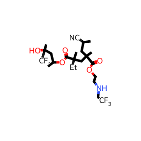 CCC(C)(CC(C)(CC(C)C#N)C(=O)OCCNCC(F)(F)F)C(=O)OC(C)CC(C)(O)C(F)(F)F